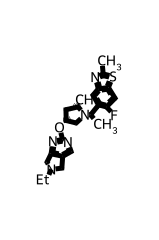 CCN1Cc2cnc(O[C@@H]3C[C@H](C)N(C(C)c4cc5nc(C)sc5cc4F)C3)nc2C1